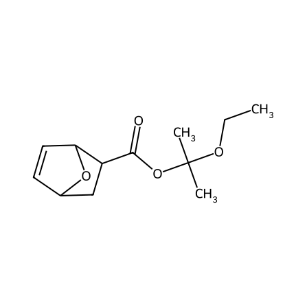 CCOC(C)(C)OC(=O)C1CC2C=CC1O2